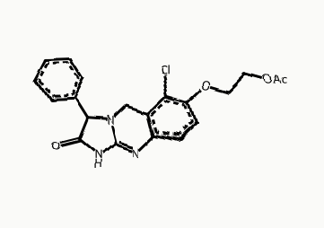 CC(=O)OCCOc1ccc2c(c1Cl)CN1C(=N2)NC(=O)C1c1ccccc1